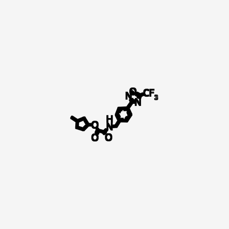 CC1CCC(OC(=O)C(=O)NCc2ccc(-c3noc(C(F)(F)F)n3)cc2)C1